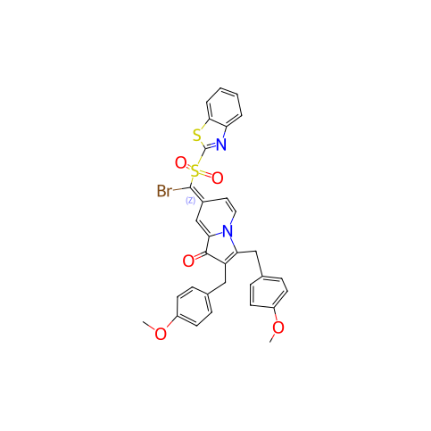 COc1ccc(CC2=C(Cc3ccc(OC)cc3)N3C=C/C(=C(/Br)S(=O)(=O)c4nc5ccccc5s4)C=C3C2=O)cc1